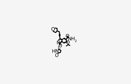 CC(C)Oc1cc2c(OC[C@@H]3CCC(=O)N3)ncc(C#CCC3CCOCC3)c2cc1C(N)=O